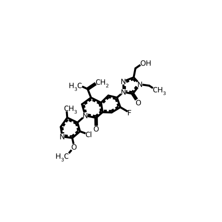 C=C(C)c1cn(-c2c(C)cnc(OC)c2Cl)c(=O)c2cc(F)c(-n3nc(CO)n(CC)c3=O)cc12